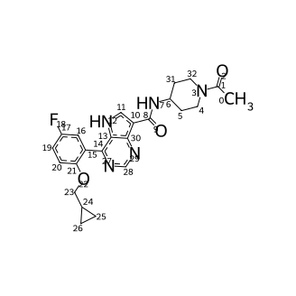 CC(=O)N1CCC(NC(=O)c2c[nH]c3c(-c4cc(F)ccc4OCC4CC4)ncnc23)CC1